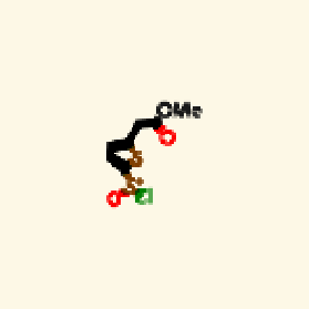 COC(=O)Cc1ccc([S+]([O-])Cl)s1